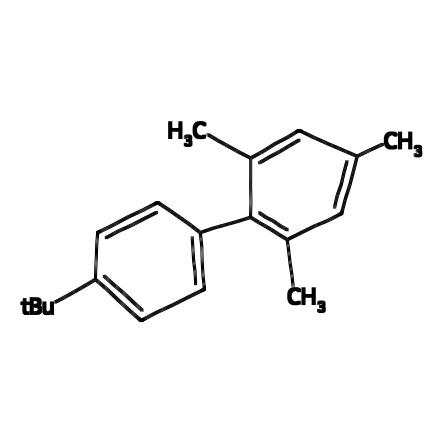 Cc1cc(C)c(-c2ccc(C(C)(C)C)cc2)c(C)c1